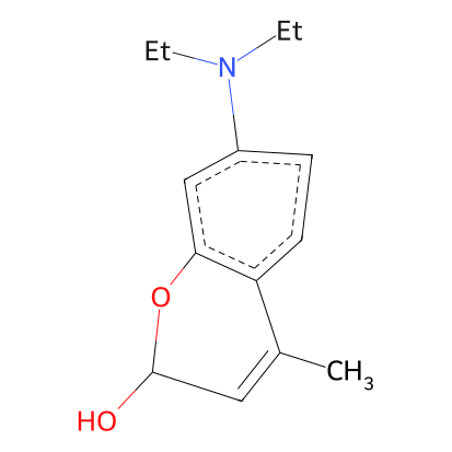 CCN(CC)c1ccc2c(c1)OC(O)C=C2C